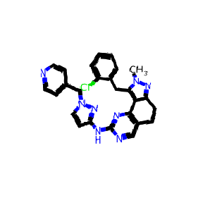 Cn1nc2c(c1Cc1ccccc1Cl)-c1nc(Nc3ccn(Cc4ccncc4)n3)ncc1CC2